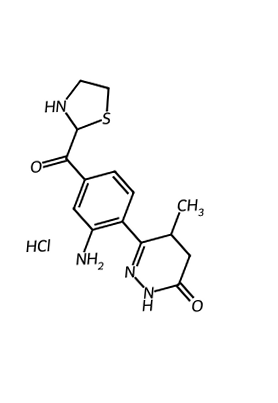 CC1CC(=O)NN=C1c1ccc(C(=O)C2NCCS2)cc1N.Cl